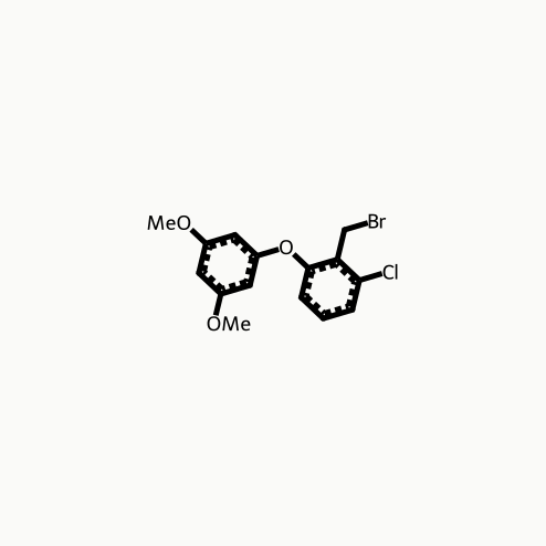 COc1cc(OC)cc(Oc2cccc(Cl)c2CBr)c1